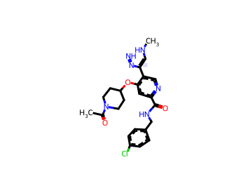 CN/C=C(\N=N)c1cnc(C(=O)NCc2ccc(Cl)cc2)cc1OC1CCN(C(C)=O)CC1